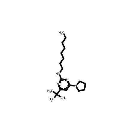 CCCCCCCCNc1nc(N2CCCC2)cc(C(C)(C)C)n1